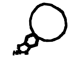 c1c2c(cc3c1SNS3)CCCCCCCCCCCCCC2